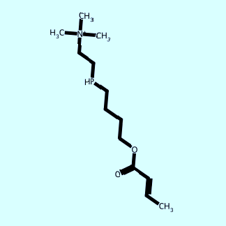 CC=CC(=O)OCCCCPCC[N+](C)(C)C